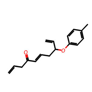 C=CCC(=O)/C=C/CC(C=C)Oc1ccc(C)cc1